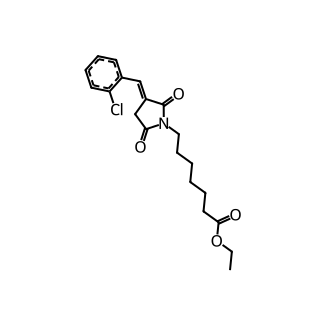 CCOC(=O)CCCCCCN1C(=O)C/C(=C\c2ccccc2Cl)C1=O